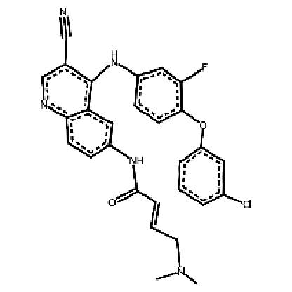 CN(C)CC=CC(=O)Nc1ccc2ncc(C#N)c(Nc3ccc(Oc4cccc(Cl)c4)c(F)c3)c2c1